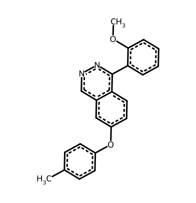 COc1ccccc1-c1nncc2cc(Oc3ccc(C)cc3)ccc12